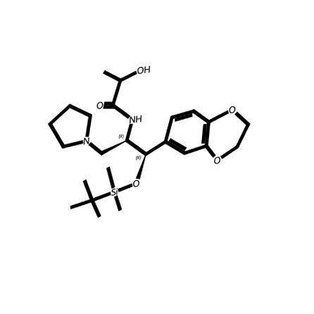 CC(O)C(=O)N[C@H](CN1CCCC1)[C@H](O[Si](C)(C)C(C)(C)C)c1ccc2c(c1)OCCO2